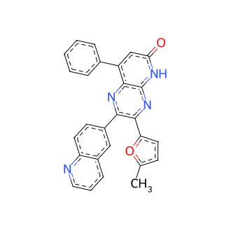 Cc1ccc(-c2nc3[nH]c(=O)cc(-c4ccccc4)c3nc2-c2ccc3ncccc3c2)o1